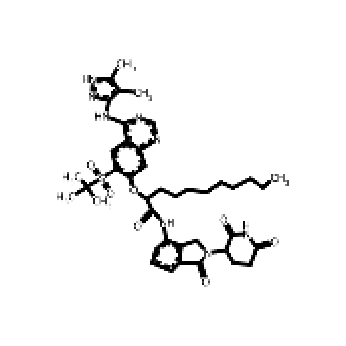 CCCCCCCCCC(Oc1cc2ncnc(Nc3n[nH]c(C)c3C)c2cc1S(=O)(=O)C(C)(C)C)C(=O)Nc1cccc2c1CN(C1CCC(=O)NC1=O)C2=O